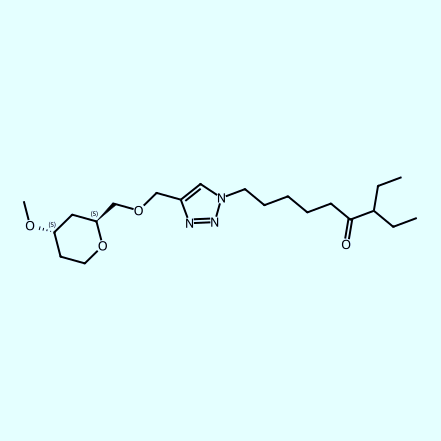 CCC(CC)C(=O)CCCCCn1cc(COC[C@@H]2C[C@@H](OC)CCO2)nn1